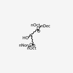 CCCCCCCCCCC(CCCCCCCC)COC(=O)CCCCCN(CCO)CCCCCC(=O)OCC(CCCCCCCC)CCCCCCCCC